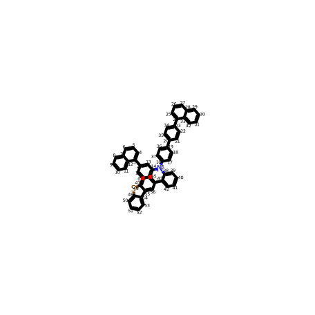 c1cc(-c2cccc3ccccc23)cc(N(c2ccc(-c3ccc(-c4cccc5ccccc45)cc3)cc2)c2ccccc2-c2ccc3sc4ccccc4c3c2)c1